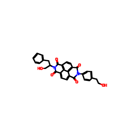 O=C1c2ccc3c4c(ccc(c24)C(=O)N1c1ccc(CCO)cc1)C(=O)N(C(CO)Cc1ccccc1)C3=O